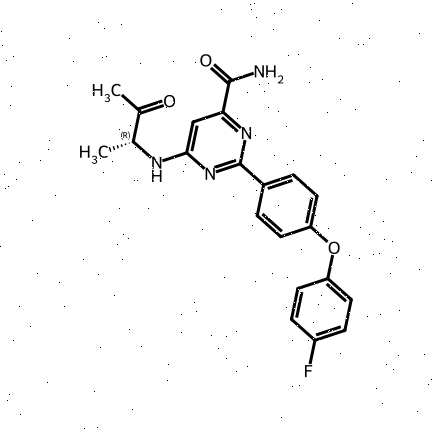 CC(=O)[C@@H](C)Nc1cc(C(N)=O)nc(-c2ccc(Oc3ccc(F)cc3)cc2)n1